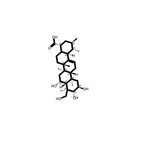 C[C@H]1[C@H](C)C[C@@H](C(=O)O)C2CC[C@]3(C)C(=CC[C@@H]4[C@@]5(C)C[C@@H](O)[C@H](O)[C@@](C)(CO)[C@@H]5[C@H](O)C[C@]43C)[C@@H]21